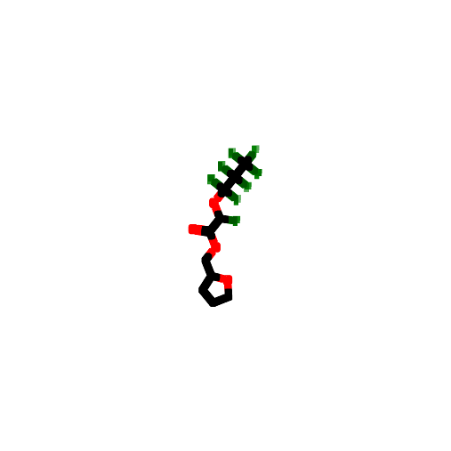 O=C(OCC1CCCO1)C(F)OC(F)(F)C(F)(F)C(F)(F)F